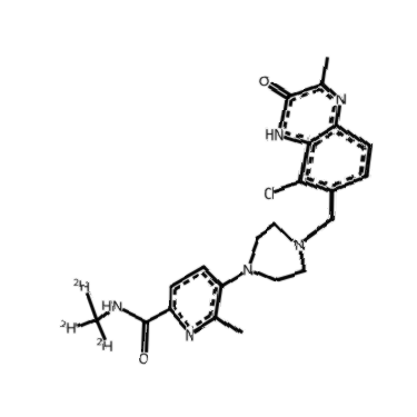 [2H]C([2H])([2H])NC(=O)c1ccc(N2CCN(Cc3ccc4nc(C)c(=O)[nH]c4c3Cl)CC2)c(C)n1